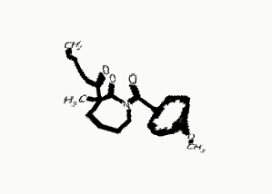 C=CCCC(=O)C1(C)CCCCN(C(=O)c2ccc(OC)cc2)C1=O